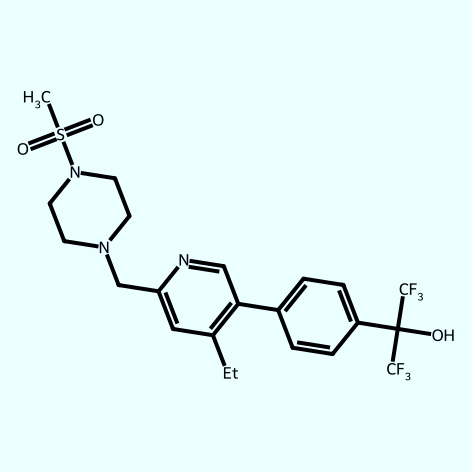 CCc1cc(CN2CCN(S(C)(=O)=O)CC2)ncc1-c1ccc(C(O)(C(F)(F)F)C(F)(F)F)cc1